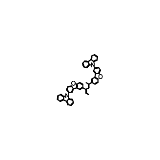 C/C=C(\C=C(/C)c1ccc2oc3ccc(-n4c5ccccc5c5ccccc54)cc3c2c1)c1ccc2oc3ccc(-n4c5ccccc5c5ccccc54)cc3c2c1